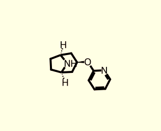 c1ccc(O[C@H]2C[C@H]3CC[C@@H](C2)N3)nc1